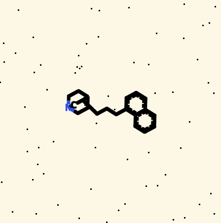 c1ccc2c(CCCC3CN4CCC3CC4)cccc2c1